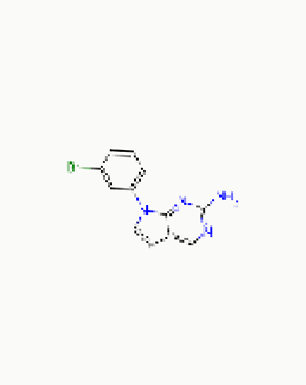 Nc1ncc2ccn(-c3cccc(Br)c3)c2n1